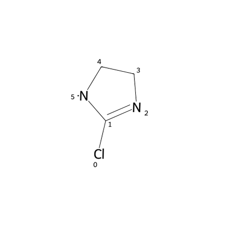 ClC1=NCC[N]1